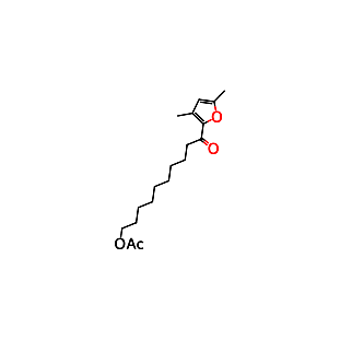 CC(=O)OCCCCCCCCCC(=O)c1oc(C)cc1C